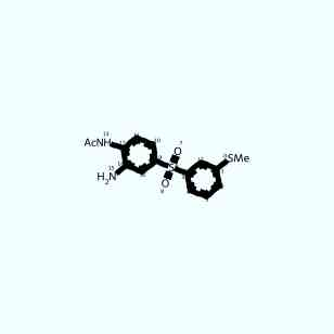 CSc1cccc(S(=O)(=O)c2ccc(NC(C)=O)c(N)c2)c1